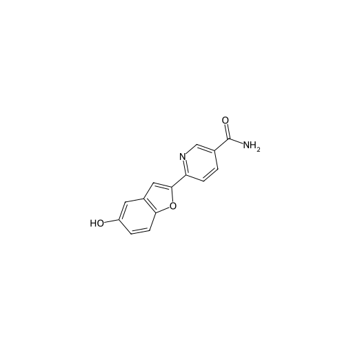 NC(=O)c1ccc(-c2cc3cc(O)ccc3o2)nc1